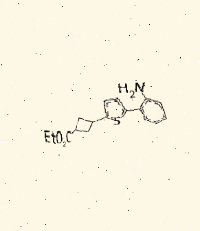 CCOC(=O)C1CC(c2ccc(-c3ccccc3N)s2)C1